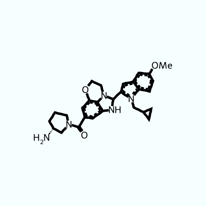 COc1ccc2c(c1)cc(C1Nc3cc(C(=O)N4CCC[C@@H](N)C4)cc4c3N1CCO4)n2CC1CC1